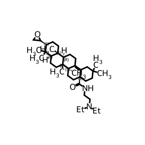 CCN(CC)CCNC(=O)[C@]12CCC(C)(C)CC1=C1CC[C@@H]3[C@@]4(C)CC[C@H](C5CO5)C(C)(C)[C@@H]4CC[C@@]3(C)[C@]1(C)CC2